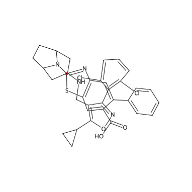 O=C(O)c1cc2sc(N3C4CCC3CC(NCc3c(-c5c(Cl)cccc5Cl)noc3C3CC3)C4)nc2cc1-c1ccccc1